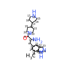 Cc1cc(CC(N)C(=O)N2CCC(C3CCNCC3)CC2)cc2cn[nH]c12